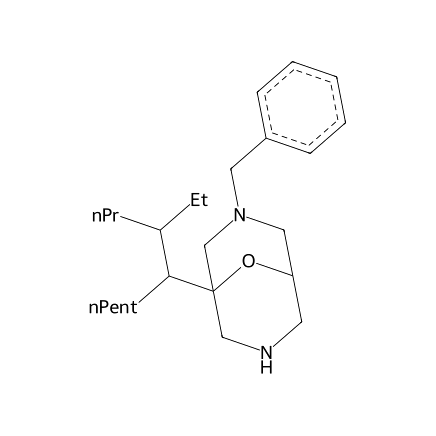 [CH2]CCC(CC)C(CCCCC)C12CNCC(CN(Cc3ccccc3)C1)O2